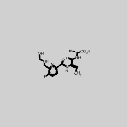 C/C=C(\NC(=O)c1ccc(F)c(CNCO)n1)C(=O)N[C@@H](CC)C(=O)O